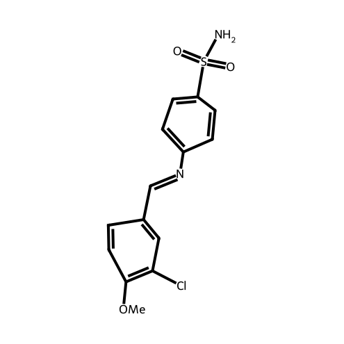 COc1ccc(C=Nc2ccc(S(N)(=O)=O)cc2)cc1Cl